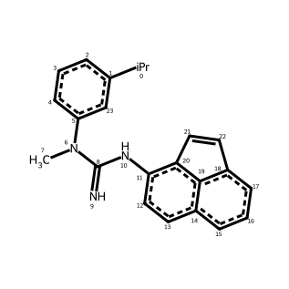 CC(C)c1cccc(N(C)C(=N)Nc2ccc3cccc4c3c2C=C4)c1